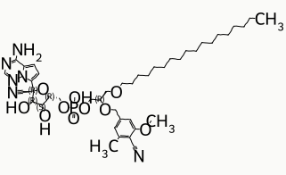 CCCCCCCCCCCCCCCCCCOC[C@H](COP(=O)(O)OC[C@H]1O[C@@](C#N)(c2ccc3c(N)ncnn23)[C@H](O)[C@@H]1O)OCc1cc(C)c(C#N)c(OC)c1